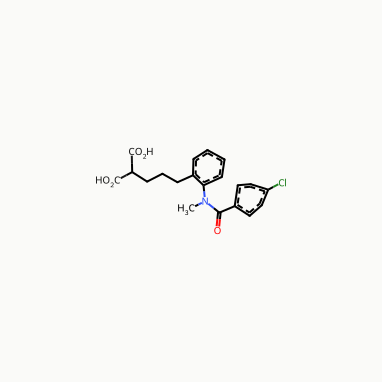 CN(C(=O)c1ccc(Cl)cc1)c1ccccc1CCCC(C(=O)O)C(=O)O